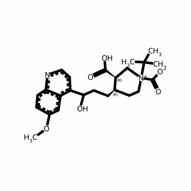 COc1ccc2nccc(C(O)CC[C@@H]3CC[N+](C(=O)[O-])(C(C)(C)C)C[C@@H]3C(=O)O)c2c1